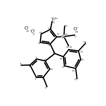 Cc1cc(C)cc(C(C2=CC[C]([Ti+3])=C2[Si](C)(C)C)c2cc(C)cc(C)c2)c1.[Cl-].[Cl-].[Cl-]